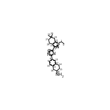 CCn1nc(-c2nc(-c3ccc4c(c3)CCC(N)C4)no2)c2c1CC(C)(C)CC2